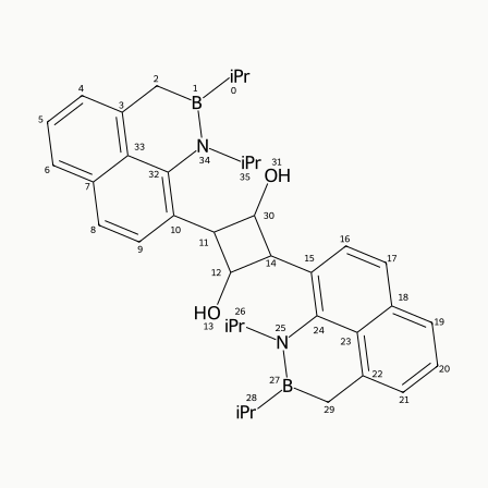 CC(C)B1Cc2cccc3ccc(C4C(O)C(c5ccc6cccc7c6c5N(C(C)C)B(C(C)C)C7)C4O)c(c23)N1C(C)C